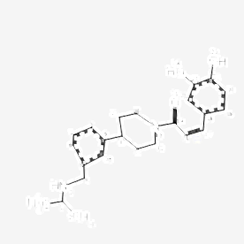 CC(C)NCc1cccc(C2CCN(C(=O)/C=C\c3ccc(O)c(O)c3)CC2)c1